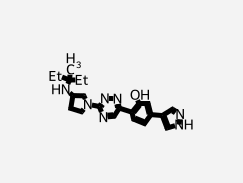 CCC(C)(CC)NC1CCN(c2ncc(-c3ccc(-c4cn[nH]c4)cc3O)nn2)C1